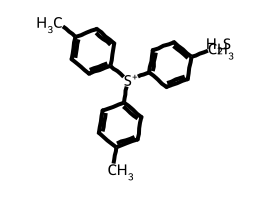 Cc1ccc([S+](c2ccc(C)cc2)c2ccc(C)cc2)cc1.S